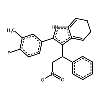 Cc1cc(-c2[nH]c3c(c2C(C[N+](=O)[O-])c2ccccc2)=CCCC=3)ccc1F